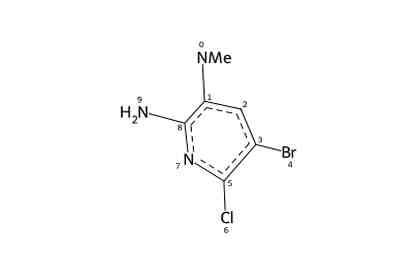 CNc1cc(Br)c(Cl)nc1N